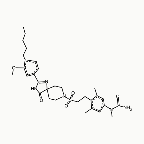 CCCCCc1ccc(C2=NC3(CCN(S(=O)(=O)CCc4c(C)cc(N(C)C(N)=O)cc4C)CC3)C(=O)N2)cc1OC